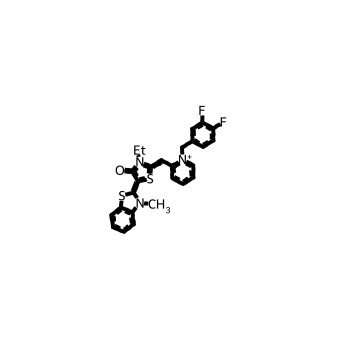 CCn1c(=O)/c(=C2\Sc3ccccc3N2C)s/c1=C\c1cccc[n+]1Cc1ccc(F)c(F)c1